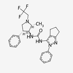 C[C@@H]1[C@@H](NC(=O)Nc2c3c(nn2-c2ccccc2)CCC3)[C@H](c2ccccc2)CN1CC(F)(F)F